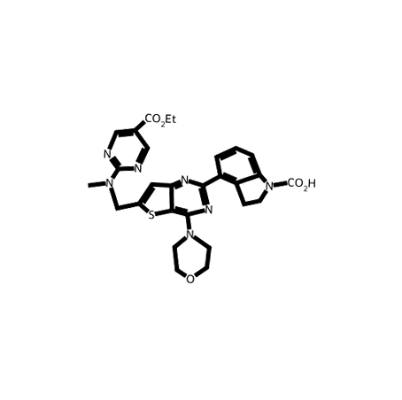 CCOC(=O)c1cnc(N(C)Cc2cc3nc(-c4cccc5c4CCN5C(=O)O)nc(N4CCOCC4)c3s2)nc1